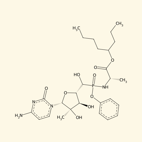 CCCCC(CCC)OC(=O)[C@H](C)NP(=O)(Oc1ccccc1)C(O)[C@H]1O[C@@H](n2ccc(N)nc2=O)[C@](C)(O)[C@@H]1O